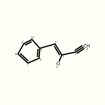 C#CC([O])=Cc1ccccc1